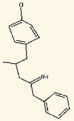 [CH2]C(CC(=N)Cc1ccccc1)Cc1ccc(Cl)cc1